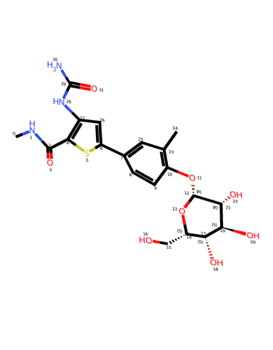 CNC(=O)c1sc(-c2ccc(O[C@H]3O[C@@H](CO)[C@@H](O)[C@H](O)[C@H]3O)c(C)c2)cc1NC(N)=O